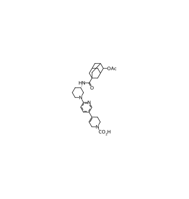 CC(=O)OC1C2CC3CC1CC(C(=O)N[C@H]1CCCN(c4ccc(C5=CCN(C(=O)O)CC5)cn4)C1)(C3)C2